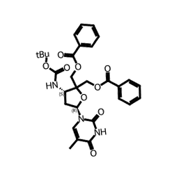 Cc1cn([C@H]2C[C@H](NC(=O)OC(C)(C)C)C(COC(=O)c3ccccc3)(COC(=O)c3ccccc3)O2)c(=O)[nH]c1=O